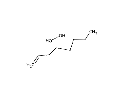 C=CCCCCCC.OO